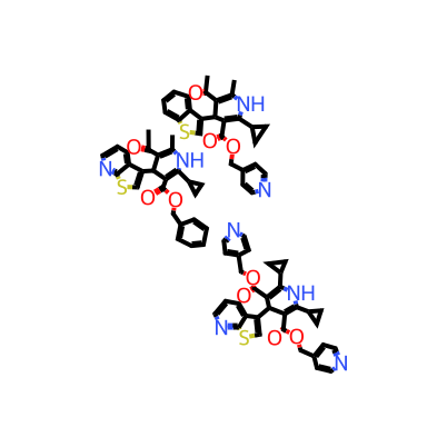 CC(=O)C1=C(C)NC(C2CC2)=C(C(=O)OCc2ccccc2)C1c1csc2ncccc12.CC(=O)C1=C(C)NC(C2CC2)=C(C(=O)OCc2ccncc2)C1c1csc2ccccc12.O=C(OCc1ccncc1)C1=C(C2CC2)NC(C2CC2)=C(C(=O)OCc2ccncc2)C1c1csc2ncccc12